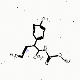 C/C=C/C(c1ccc(C(F)(F)F)cc1)C(NC(=O)OC(C)(C)C)C(=O)O